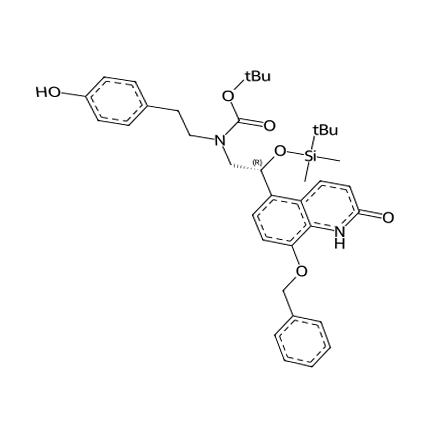 CC(C)(C)OC(=O)N(CCc1ccc(O)cc1)C[C@H](O[Si](C)(C)C(C)(C)C)c1ccc(OCc2ccccc2)c2[nH]c(=O)ccc12